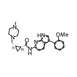 COc1ccccc1-c1c[nH]c2nc(NC(=O)[C@@H]3C[C@@H]3CN3CCN(C)CC3)ccc12